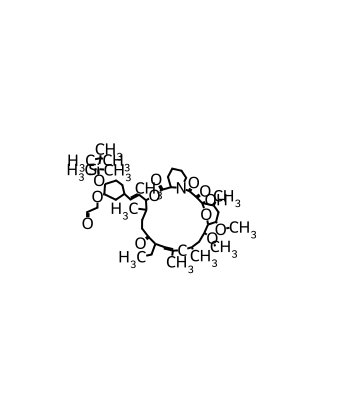 CCC1/C=C(\C)CC(C)CC(OC)C2OC(O)(C(=O)C(=O)N3CCCCC3C(=O)OC(C(C)=CC3CCC(O[Si](C)(C)C(C)(C)C)C(OCC=O)C3)C(C)CCC1=O)C(C)CC2OC